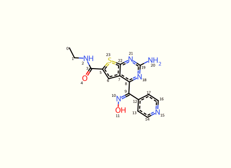 CCNC(=O)c1cc2c(C(=NO)c3ccncc3)nc(N)nc2s1